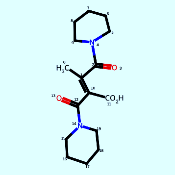 C/C(C(=O)N1CCCCC1)=C(/C(=O)O)C(=O)N1CCCCC1